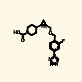 O=C(O)N1CCC([C@H]2C[C@H]2COCc2ccc(-n3cnnn3)cc2F)CC1